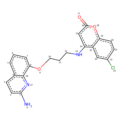 Nc1ccc2cccc(OCCCNc3cc(=O)oc4ccc(Cl)cc34)c2n1